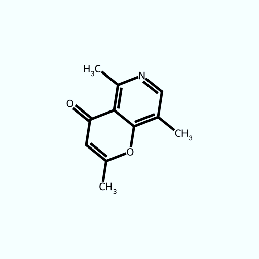 Cc1cc(=O)c2c(C)ncc(C)c2o1